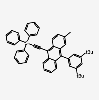 Cc1ccc2c(C#C[Si](c3ccccc3)(c3ccccc3)c3ccccc3)c3ccccc3c(-c3cc(C(C)(C)C)cc(C(C)(C)C)c3)c2c1